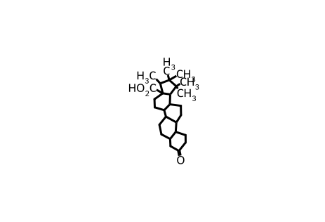 CC1C2(C(=O)O)CCC3C4CCC5CC(=O)CCC5C4CCC3C2C(C)(C)C1(C)C